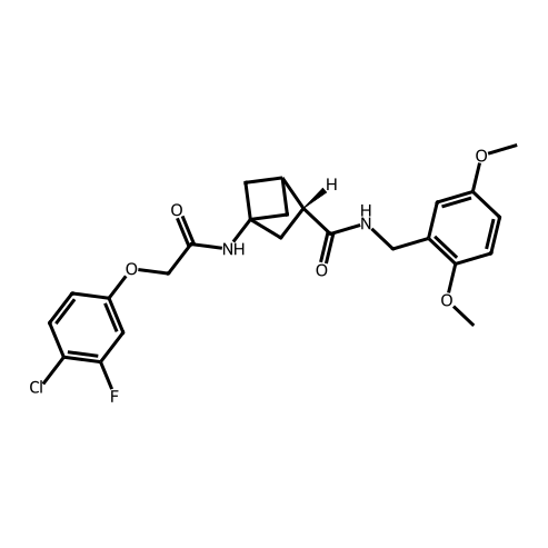 COc1ccc(OC)c(CNC(=O)[C@@H]2CC3(NC(=O)COc4ccc(Cl)c(F)c4)CC2C3)c1